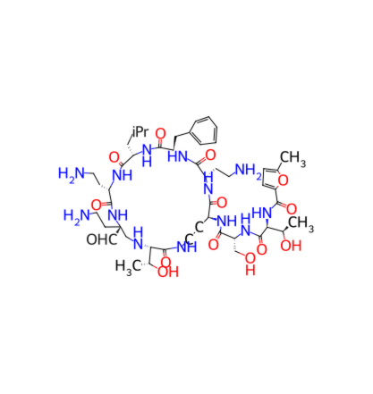 Cc1ccc(C(=O)N[C@H](C(=O)N[C@H](CO)C(=O)N[C@H]2CCNC(=O)[C@H]([C@@H](C)O)NC[C@](C=O)(CCN)NC(=O)[C@H](CCN)NC(=O)[C@H](CC(C)C)NC(=O)[C@@H](Cc3ccccc3)NC(=O)[C@H](CCN)NC2=O)[C@@H](C)O)o1